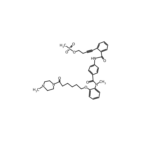 CN1CCN(C(=O)CCCCCOc2ccccc2N(C)C(=O)c2ccc(NC(=O)c3ccccc3C#CCCOS(C)(=O)=O)cc2)CC1